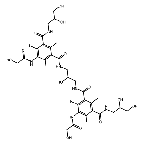 O=C(CO)Nc1c(I)c(C(=O)NCC(O)CO)c(I)c(C(=O)NCC(O)CNC(=O)c2c(I)c(NC(=O)CO)c(I)c(C(=O)NCC(O)CO)c2I)c1I